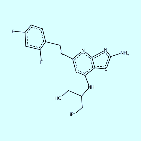 CC(C)CC(CO)Nc1nc(SCc2ccc(F)cc2F)nc2nc(N)sc12